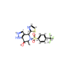 CC1C(=O)c2[nH]ncc2C(c2nccs2)N1S(=O)(=O)c1ccc(C(F)(F)F)cc1